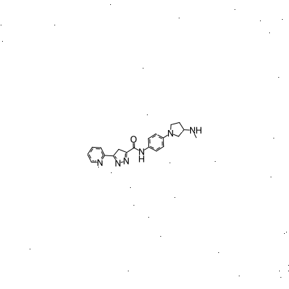 CNC1CCN(c2ccc(NC(=O)C3=NN=C(c4ccccn4)C3)cc2)C1